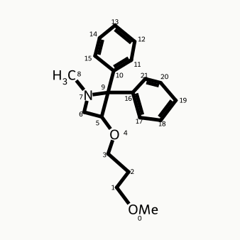 COCCCOC1CN(C)C1(c1ccccc1)c1ccccc1